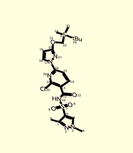 Cc1nn(C)cc1S(=O)(=O)NC(=O)c1ccc(-n2ccc(OCS(C)(C)C(C)(C)C)n2)nc1Cl